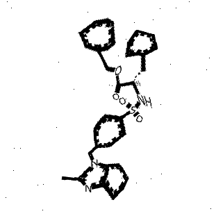 Cc1nc2ccccc2n1Cc1ccc(S(=O)(=O)N[C@@H](Cc2ccccc2)C(=O)OCc2ccccc2)cc1